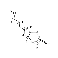 C=CC(=O)NCC(=O)OC1(C)CCC2CC1OC2=O